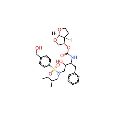 CC[C@H](C)CN(C[C@@H](O)[C@H](Cc1ccccc1)NC(=O)O[C@H]1CO[C@H]2OCC[C@H]21)S(=O)(=O)c1ccc(CO)cc1